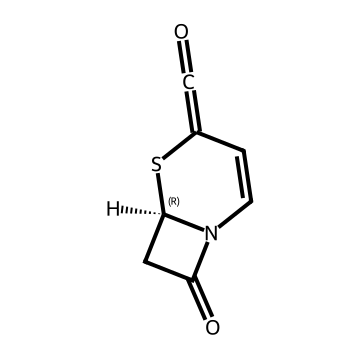 O=C=C1C=CN2C(=O)C[C@H]2S1